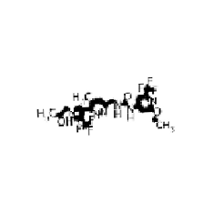 CCOc1cc(NC(=O)NCc2cc(C)c(-c3cn(CC(C)O)nc3C(F)(F)F)nn2)cc(C(F)(F)F)n1